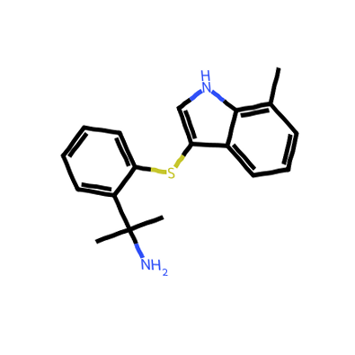 Cc1cccc2c(Sc3ccccc3C(C)(C)N)c[nH]c12